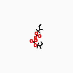 CCC(C)C(C)(C)OC(=O)OOC(=O)OC(C)(C)C(C)CC